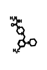 Cc1ccc(CN2CCN(C(=O)NN)CC2)c(N2CCCCC2)c1